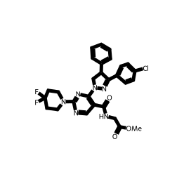 COC(=O)CNC(=O)c1cnc(N2CCC(F)(F)CC2)nc1N1CC(c2ccccc2)C(c2ccc(Cl)cc2)=N1